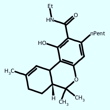 CCCCCc1cc2c(c(O)c1C(=O)NCC)C1C=C(C)CC[C@H]1C(C)(C)O2